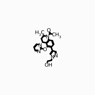 CC(=O)N1c2ccc(-c3cnn(CCO)c3)c(Oc3ncccn3)c2CC[C@@H]1C